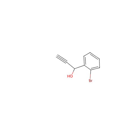 C#CC(O)c1ccccc1Br